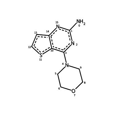 Nc1nc(N2CCOCC2)c2sccc2n1